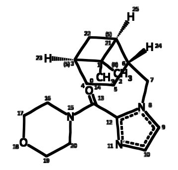 CC1(C)[C@H]2CC[C@@H](Cn3ccnc3C(=O)N3CCOCC3)[C@@H]1C2